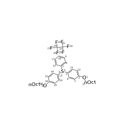 CCCCCCCCOc1ccc([S+](c2ccccc2)c2ccc(OCCCCCCCC)cc2)cc1.FC(F)(F)C(F)(F)F